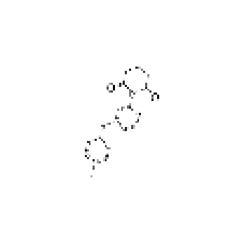 Cc1ccc(Sc2cccc(N3C(=O)CCCC3=O)c2)cc1